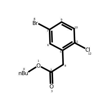 CCCCOC(=O)Cc1cc(Br)ccc1Cl